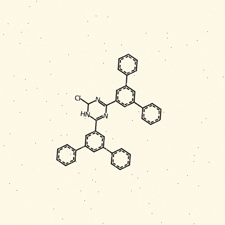 ClC1N=C(c2cc(-c3ccccc3)cc(-c3ccccc3)c2)N=C(c2cc(-c3ccccc3)cc(-c3ccccc3)c2)N1